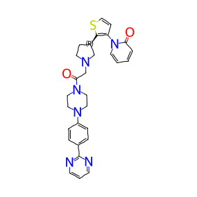 O=C(CN1CC[C@@H](c2sccc2-n2ccccc2=O)C1)N1CCN(c2ccc(-c3ncccn3)cc2)CC1